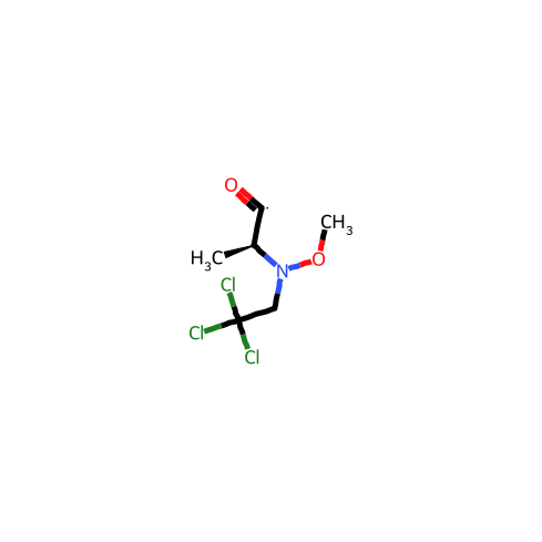 CON(CC(Cl)(Cl)Cl)[C@@H](C)[C]=O